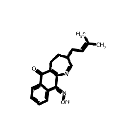 CC(C)=CCC1C=NC2=C(CC1)C(=O)c1ccccc1/C2=N\O